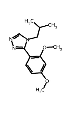 COc1ccc(-c2nncn2CC(C)C)c(OC)c1